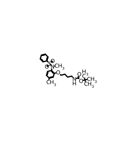 Cc1ccc(N(C)S(=O)(=O)c2ccccc2)c(OCCCCNC(=O)OC(C)(C)C)c1